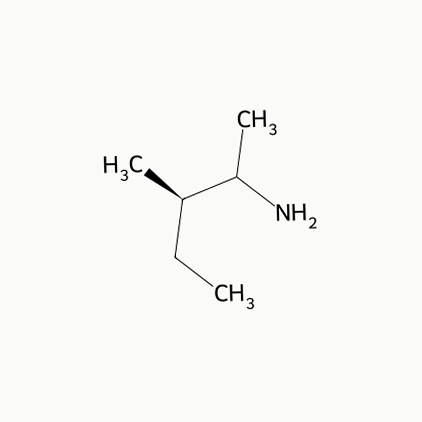 CC[C@@H](C)C(C)N